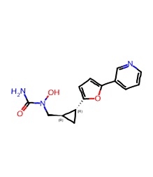 NC(=O)N(O)C[C@@H]1C[C@H]1c1ccc(-c2cccnc2)o1